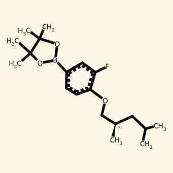 CC(C)C[C@@H](C)COc1ccc(B2OC(C)(C)C(C)(C)O2)cc1F